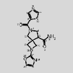 NC(=O)C1CN(C(=O)c2cncs2)CC12CN(c1ncco1)C2